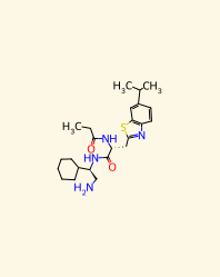 CCC(=O)N[C@H](Cc1nc2ccc(C(C)C)cc2s1)C(=O)N[C@@H](CN)C1CCCCC1